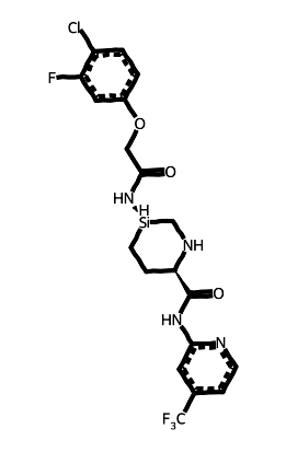 O=C(COc1ccc(Cl)c(F)c1)N[Si@H]1CC[C@H](C(=O)Nc2cc(C(F)(F)F)ccn2)NC1